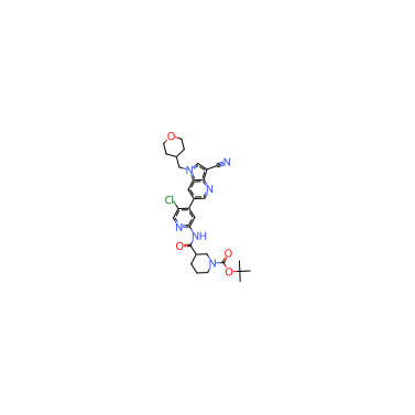 CC(C)(C)OC(=O)N1CCCC(C(=O)Nc2cc(-c3cnc4c(C#N)cn(CC5CCOCC5)c4c3)c(Cl)cn2)C1